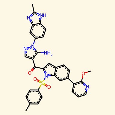 COc1ncccc1-c1ccc2cc(C(=O)c3cnn(-c4ccc5[nH]c(C)nc5c4)c3N)n(S(=O)(=O)c3ccc(C)cc3)c2c1